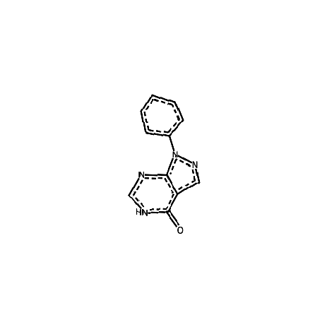 O=c1[nH]cnc2c1cnn2-c1ccccc1